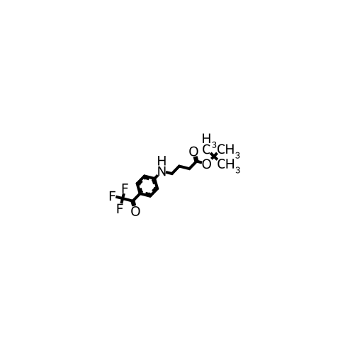 CC(C)(C)OC(=O)CCCNc1ccc(C(=O)C(F)(F)F)cc1